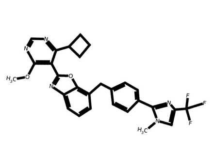 COc1ncnc(C2CCC2)c1-c1nc2cccc(Cc3ccc(-c4nc(C(F)(F)F)cn4C)cc3)c2o1